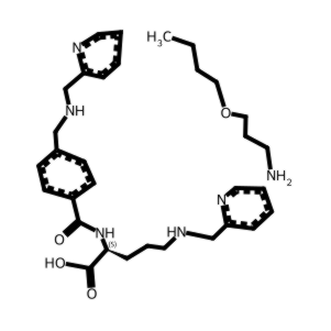 CCCCOCCCN.O=C(N[C@@H](CCCNCc1ccccn1)C(=O)O)c1ccc(CNCc2ccccn2)cc1